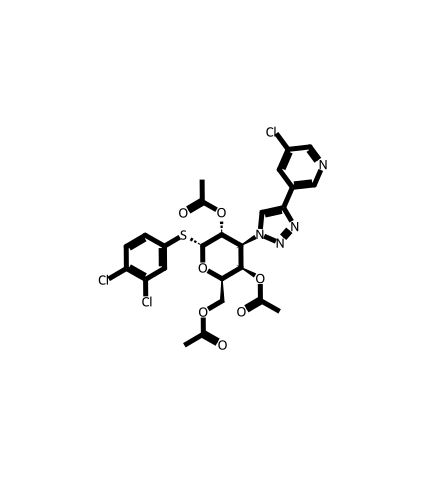 CC(=O)OC[C@H]1O[C@H](Sc2ccc(Cl)c(Cl)c2)[C@H](OC(C)=O)[C@@H](n2cc(-c3cncc(Cl)c3)nn2)[C@H]1OC(C)=O